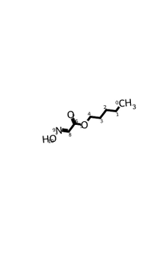 CCCCCOC(=O)C=NO